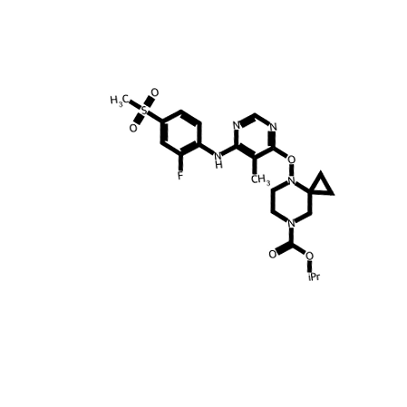 Cc1c(Nc2ccc(S(C)(=O)=O)cc2F)ncnc1ON1CCN(C(=O)OC(C)C)CC12CC2